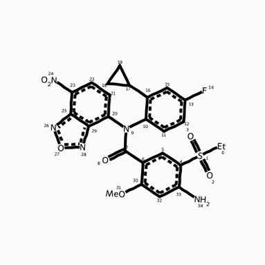 CCS(=O)(=O)c1cc(C(=O)N(c2ccc(F)cc2C2CC2)c2ccc([N+](=O)[O-])c3nonc23)c(OC)cc1N